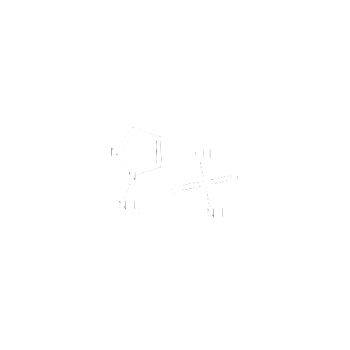 CS(N)(=O)=O.Nn1cccn1